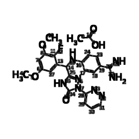 CC(=O)O.COc1cc(OC)c(F)c(C(Nc2ccc(C(=N)N)cc2)c2nn(-c3cccnn3)c(=O)[nH]2)c1